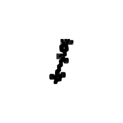 CNc1ccc(CNC(=O)CCCCCN2C(=O)CC(C)C2=O)cc1